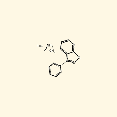 C.CN.Cl.c1ccc(-c2noc3ccccc23)cc1